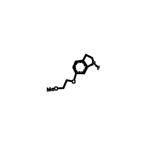 COCCOc1ccc2c(c1)N(F)CC2